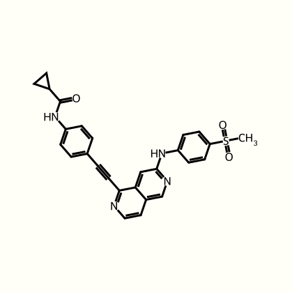 CS(=O)(=O)c1ccc(Nc2cc3c(C#Cc4ccc(NC(=O)C5CC5)cc4)nccc3cn2)cc1